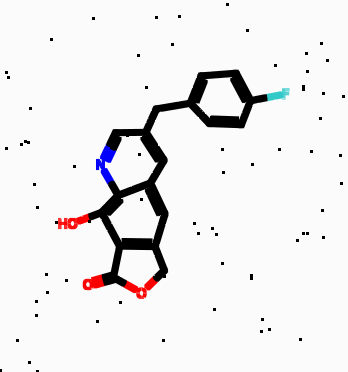 O=C1OCc2cc3cc(Cc4ccc(F)cc4)cnc3c(O)c21